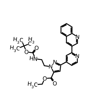 CCOC(=O)c1cc(-c2ccnc(-c3cnc4ccccc4c3)c2)nn1CCNC(=O)OC(C)(C)C